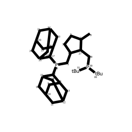 CC1CCC(CP(C2C3CC4CC(C3)CC2C4)C2C3CC4CC(C3)CC2C4)C1CP(C(C)(C)C)C(C)(C)C